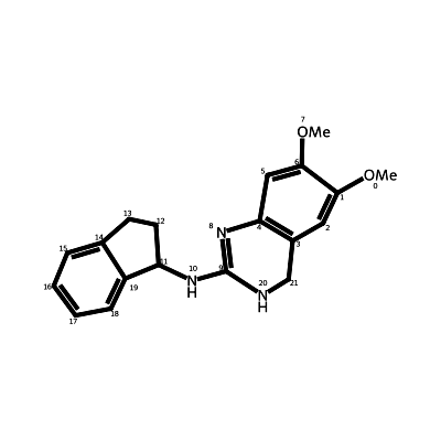 COc1cc2c(cc1OC)N=C(NC1CCc3ccccc31)NC2